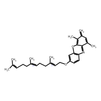 C=c1cc(C)c2c(c1C)Oc1cc(OC/C=C(\C)CC/C=C(\C)CCC=C(C)C)ccc1N=2